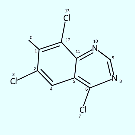 Cc1c(Cl)cc2c(Cl)ncnc2c1Cl